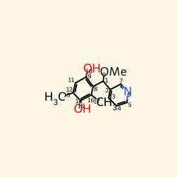 COC(c1cccnc1)c1c(O)cc(C)c(O)c1C